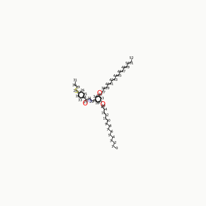 CCCCCCCCCCCCCCCCOc1cc(/C=C/C(=O)c2ccc(SCCC)cc2)cc(OCCCCCCCCCCCCCCCC)c1